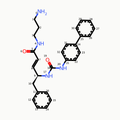 NCCCNC(=O)/C=C/[C@H](Cc1ccccc1)NC(=O)Nc1ccc(-c2ccccc2)cc1